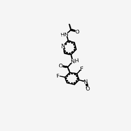 CC(=O)Nc1ccc(NC(=O)c2c(F)ccc(N=O)c2F)cn1